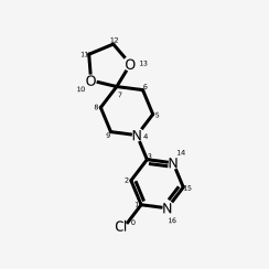 Clc1cc(N2CCC3(CC2)OCCO3)ncn1